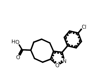 O=C(O)C1CCCc2c(-c3ccc(Cl)cc3)noc2CC1